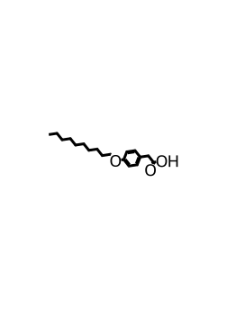 CCCCCCCCCCOc1ccc(CC(=O)O)cc1